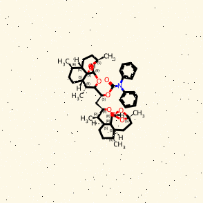 C[C@H]1[C@@H](C[C@H](OC(=O)N(c2ccccc2)c2ccccc2)C2O[C@@H]3O[C@]4(C)CC[C@H]5[C@H](C)CC[C@@H]([C@H]2C)[C@@]35OO4)O[C@@H]2O[C@]3(C)CC[C@H]4[C@H](C)CC[C@@H]1[C@@]24OO3